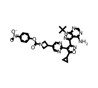 CC(C)(C)n1nc(-c2noc(C3CC3)c2-c2ncc(C3CN(C(=O)Oc4ccc([N+](=O)[O-])cc4)C3)cn2)c2c(N)ncnc21